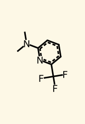 CN(C)c1cccc(C(F)(F)F)n1